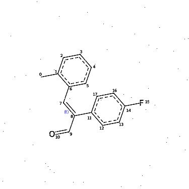 Cc1ccccc1/C=C(/C=O)c1ccc(F)cc1